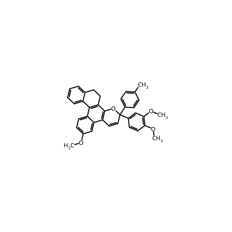 COc1ccc2c3c(c4c(c2c1)C=CC(c1ccc(C)cc1)(c1ccc(OC)c(OC)c1)O4)CCc1ccccc1-3